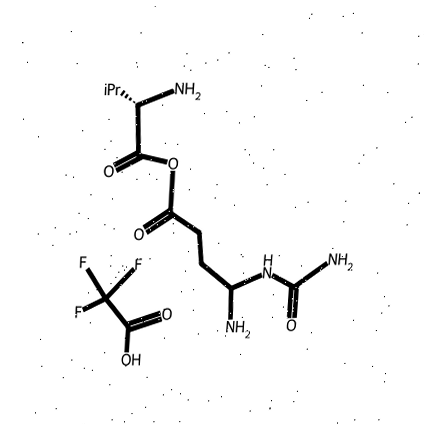 CC(C)[C@H](N)C(=O)OC(=O)CCC(N)NC(N)=O.O=C(O)C(F)(F)F